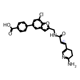 NC1=NC=C(/C=C/C(=O)NCc2cc3cc(-c4ccc(C(=O)O)cc4)cc(Cl)c3o2)CC1